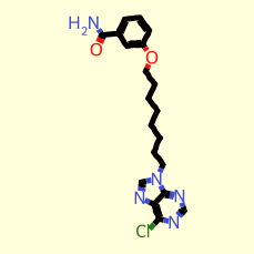 NC(=O)c1cccc(OCCCCCCCCn2cnc3c(Cl)ncnc32)c1